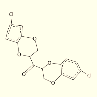 O=C(C1COc2cc(Cl)ccc2O1)C1COc2cc(Cl)ccc2O1